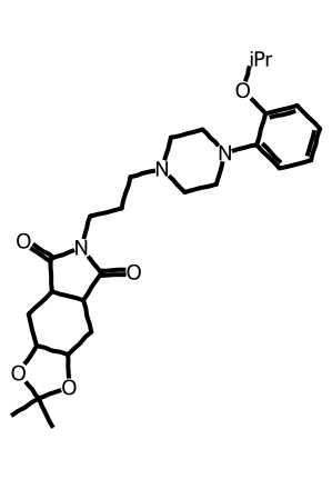 CC(C)Oc1ccccc1N1CCN(CCCN2C(=O)C3CC4OC(C)(C)OC4CC3C2=O)CC1